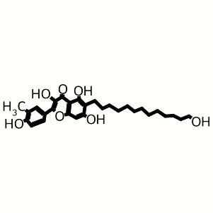 Cc1cc(-c2oc3cc(O)c(CCCCCCCCCCCCCO)c(O)c3c(=O)c2O)ccc1O